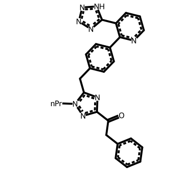 CCCn1nc(C(=O)Cc2ccccc2)nc1Cc1ccc(-c2ncccc2-c2nnn[nH]2)cc1